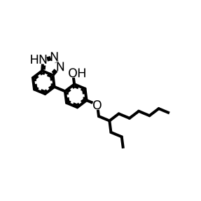 CCCCCCC(CCC)COc1ccc(-c2cccc3[nH]nnc23)c(O)c1